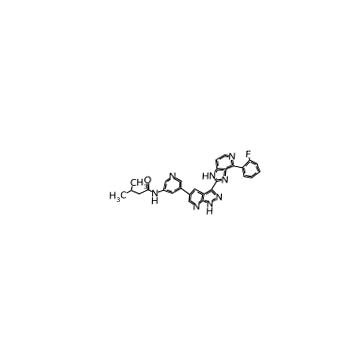 CC(C)CC(=O)Nc1cncc(-c2cnc3[nH]nc(-c4nc5c(-c6ccccc6F)nccc5[nH]4)c3c2)c1